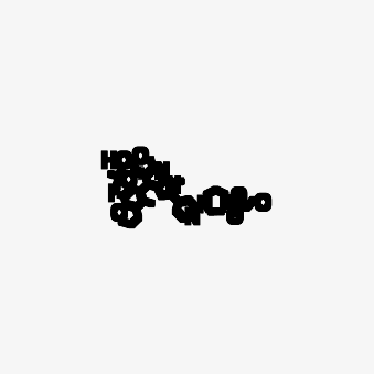 COCCS(=O)(=O)N1CCCN(c2cc(-c3cc4c(-c5cc(F)c6c(c5C)CCCO6)c([C@H](OC(C)(C)C)C(=O)O)c(C)nc4n3C)ccn2)CC1